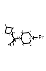 CC(C)N1CCN(C(=O)N2CCC2)CC1